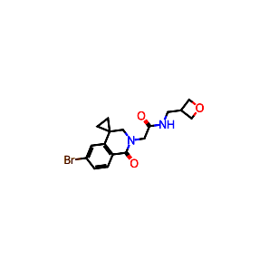 O=C(CN1CC2(CC2)c2cc(Br)ccc2C1=O)NCC1COC1